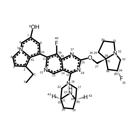 CCc1ccn2cc(O)cc(-c3ncc4c(N5C[C@H]6CC[C@@H](C5)N6)nc(OC[C@@]56CCCN5C[C@H](F)C6)nc4c3F)c12